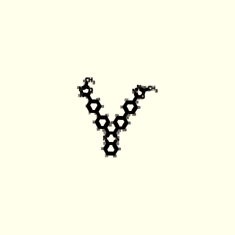 Cc1nnc(-c2ccc(-c3ccc(-c4nc5ccccc5nc4-c4ccc(-c5ccc(-c6nnc(C)o6)cc5)cc4)cc3)cc2)o1